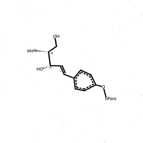 CCCCCOc1ccc(/C=C/[C@H](O)[C@@H](CO)NC)cc1